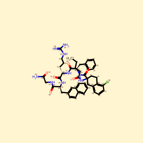 CCCCC(=O)NC1(C(=O)N[C@H](Cc2ccccc2)C(=O)N[C@@H](CCCNC(=N)N)C(=O)N[C@@H](Cc2ccc3ccccc3c2)C(=O)NCC(N)=O)CCc2c(Br)cccc2C1